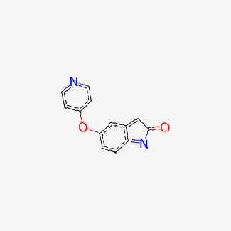 O=C1C=c2cc(Oc3ccncc3)ccc2=N1